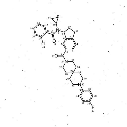 O=C(c1ccc2c(c1)C(N(C(=O)c1ccccc1Cl)C1CC1)CC2)N1CCC2(CC1)CCN(c1ccc(F)cc1)CC2